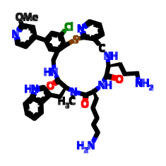 COc1cc(-c2cc(Cl)c3c(c2)CNC(=O)[C@H](Cc2c[nH]c4ccccc24)N(C)C(=O)[C@H](CCCCCN)NC(=O)[C@H](CCCN)NCc2cccnc2S3)ccn1